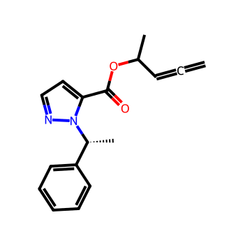 C=C=CC(C)OC(=O)c1ccnn1[C@H](C)c1ccccc1